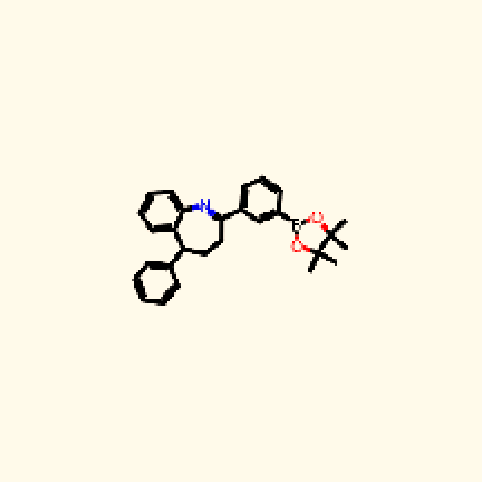 CC1(C)OB(c2cccc(C3=Nc4ccccc4C(c4ccccc4)CC3)c2)OC1(C)C